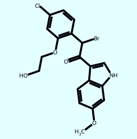 COc1ccc2c(C(=O)C(Br)c3ccc(Cl)cc3OCCO)c[nH]c2c1